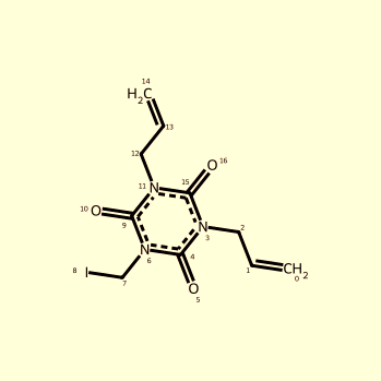 C=CCn1c(=O)n(CI)c(=O)n(CC=C)c1=O